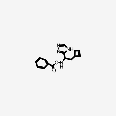 O=C(ONC(CC1C=CC1)c1nnc[nH]1)c1ccccc1